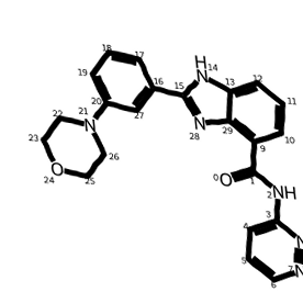 O=C(Nc1cccnn1)c1cccc2[nH]c(-c3cccc(N4CCOCC4)c3)nc12